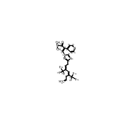 C=CC/C(=C\C(=C/Cc1ncn(/C=C(/C(=O)N(C)C)c2ccncc2)n1)C(F)(F)F)C(F)(F)F